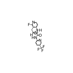 O=C(Nc1ccc(C(F)(F)F)cn1)N1[C@H]2CC[C@@H]1c1ccnc(F)c1C2